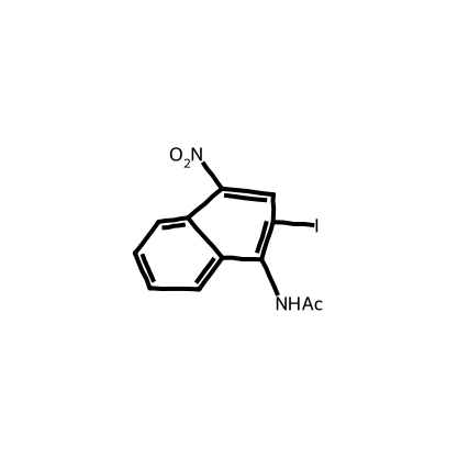 CC(=O)Nc1c(I)cc([N+](=O)[O-])c2ccccc12